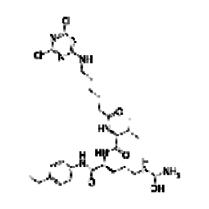 CCc1ccc(NC(=O)[C@H](CCCNC(N)O)NC(=O)[C@@H](NC(=O)CCCCCNc2nc(Cl)nc(Cl)n2)C(C)C)cc1